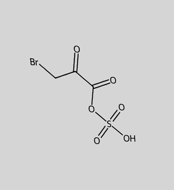 O=C(CBr)C(=O)OS(=O)(=O)O